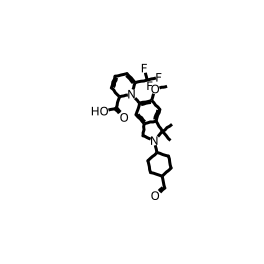 COc1cc2c(cc1N1C(C(F)(F)F)=CC=CC1C(=O)O)CN(C1CCC(C=O)CC1)C2(C)C